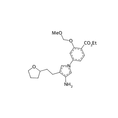 CCOC(=O)c1ccc(-n2cc(N)c(CCC3CCCO3)c2)cc1OCOC